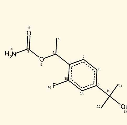 CC(OC(N)=O)c1ccc(C(C)(C)O)cc1F